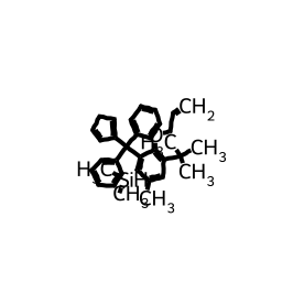 C=CCOc1c(C(C)(C)C)cc(C)c([SiH](C)C)c1C(C1=CCC=C1)(c1ccccc1)c1ccccc1